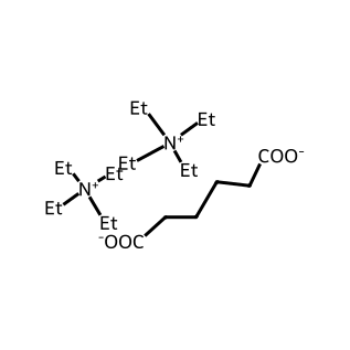 CC[N+](CC)(CC)CC.CC[N+](CC)(CC)CC.O=C([O-])CCCCC(=O)[O-]